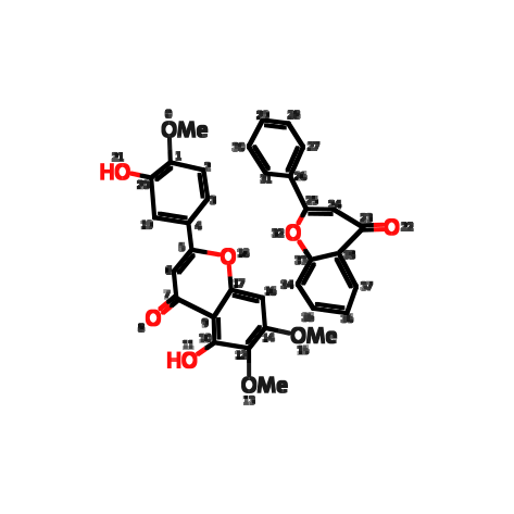 COc1ccc(-c2cc(=O)c3c(O)c(OC)c(OC)cc3o2)cc1O.O=c1cc(-c2ccccc2)oc2ccccc12